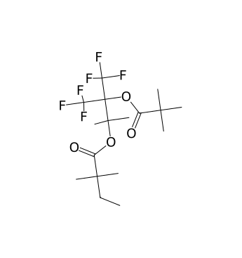 CCC(C)(C)C(=O)OC(C)(C)C(OC(=O)C(C)(C)C)(C(F)(F)F)C(F)(F)F